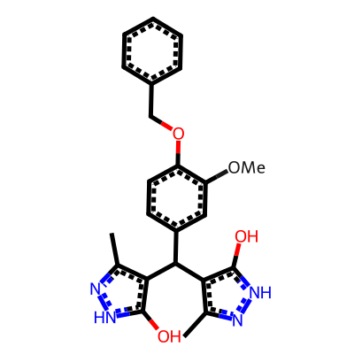 COc1cc(C(c2c(C)n[nH]c2O)c2c(C)n[nH]c2O)ccc1OCc1ccccc1